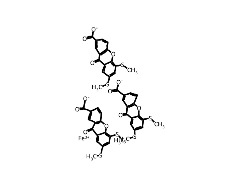 CSc1cc(SC)c2oc3ccc(C(=O)[O-])cc3c(=O)c2c1.CSc1cc(SC)c2oc3ccc(C(=O)[O-])cc3c(=O)c2c1.CSc1cc(SC)c2oc3ccc(C(=O)[O-])cc3c(=O)c2c1.[Fe+3]